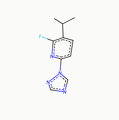 CC(C)c1ccc(-n2cncn2)nc1F